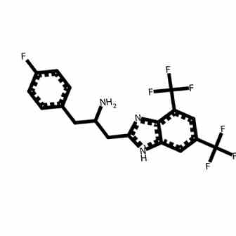 NC(Cc1ccc(F)cc1)Cc1nc2c(C(F)(F)F)cc(C(F)(F)F)cc2[nH]1